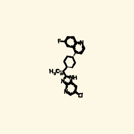 C[C@@H](c1nc2ncc(Cl)cc2[nH]1)[C@H]1CC[C@@H](c2ccnc3ccc(F)cc32)CC1